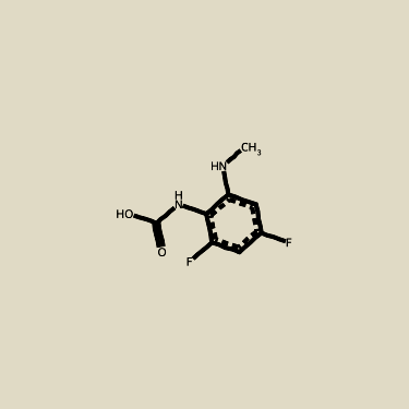 CNc1cc(F)cc(F)c1NC(=O)O